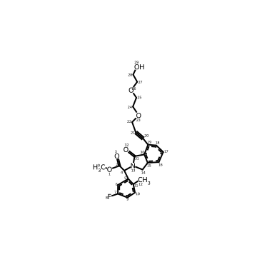 COC(=O)C(c1cc(F)ccc1C)N1Cc2cccc(C#CCOCCOCCO)c2C1=O